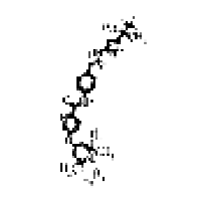 CN1C(C)(C)CC(Oc2ccc(C(=O)Nc3ccc(CC(=O)Nc4cc(C(C)(C)C(F)(F)F)on4)cc3)nc2)CC1(C)C